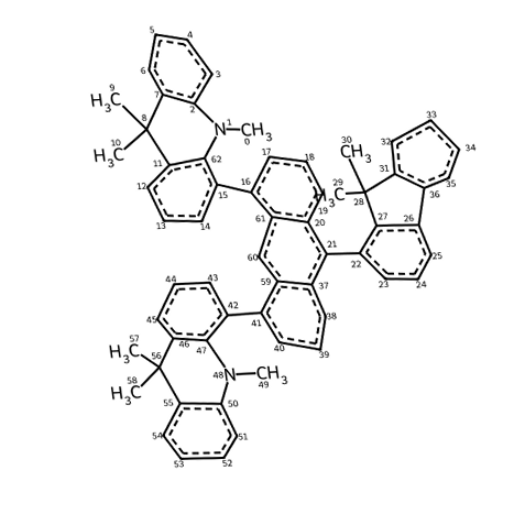 CN1c2ccccc2C(C)(C)c2cccc(-c3cccc4c(-c5cccc6c5C(C)(C)c5ccccc5-6)c5cccc(-c6cccc7c6N(C)c6ccccc6C7(C)C)c5cc34)c21